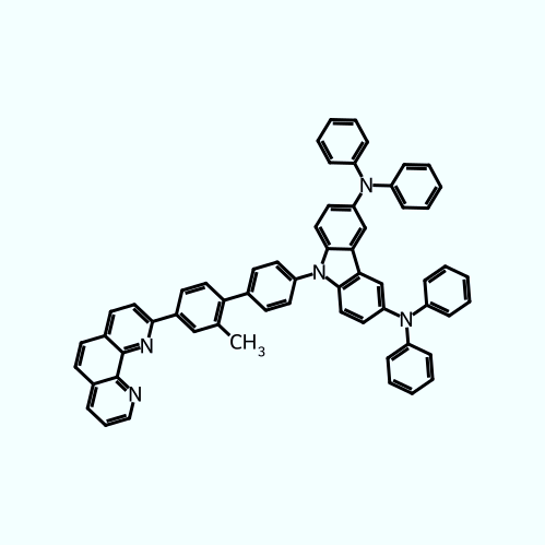 Cc1cc(-c2ccc3ccc4cccnc4c3n2)ccc1-c1ccc(-n2c3ccc(N(c4ccccc4)c4ccccc4)cc3c3cc(N(c4ccccc4)c4ccccc4)ccc32)cc1